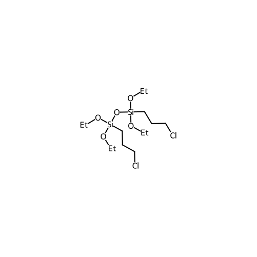 CCO[Si](CCCCl)(OCC)O[Si](CCCCl)(OCC)OCC